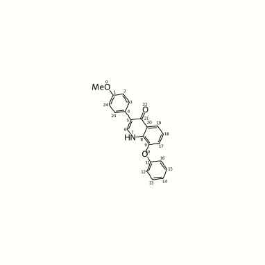 COc1ccc(-c2c[nH]c3c(Oc4ccccc4)cccc3c2=O)cc1